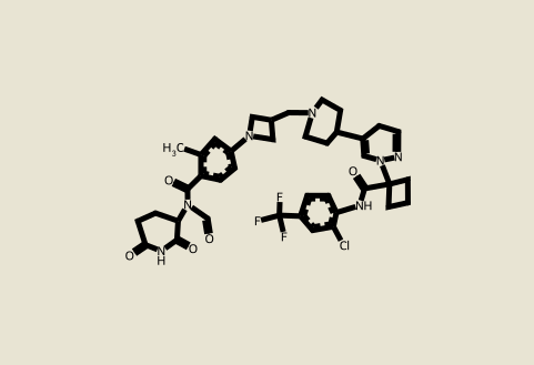 Cc1cc(N2CC(CN3CCC(C4=CN(C5(C(=O)Nc6ccc(C(F)(F)F)cc6Cl)CCC5)N=CC4)CC3)C2)ccc1C(=O)N(C=O)C1CCC(=O)NC1=O